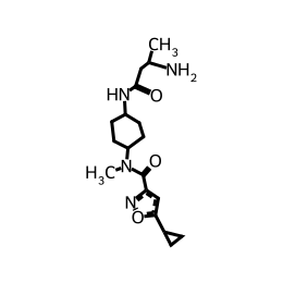 CC(N)CC(=O)NC1CCC(N(C)C(=O)c2cc(C3CC3)on2)CC1